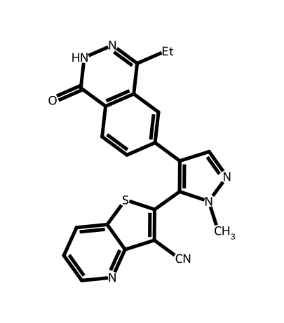 CCc1n[nH]c(=O)c2ccc(-c3cnn(C)c3-c3sc4cccnc4c3C#N)cc12